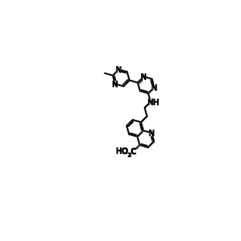 Cc1ncc(-c2cc(NCCc3cccc4c(C(=O)O)ccnc34)ncn2)cn1